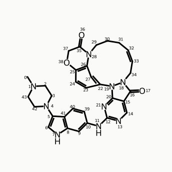 CN1CCN(c2c[nH]c3cc(Nc4ncc5c(=O)n6n(c5n4)-c4ccc5c(c4)N(CCC/C=C\C6)C(=O)CO5)ccc23)CC1